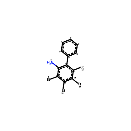 CCc1c(N)c(-c2ccccc2)c(CC)c(CC)c1CC